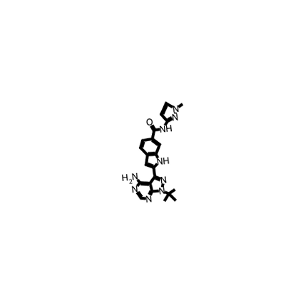 Cn1ccc(NC(=O)c2ccc3cc(-c4nn(C(C)(C)C)c5ncnc(N)c45)[nH]c3c2)n1